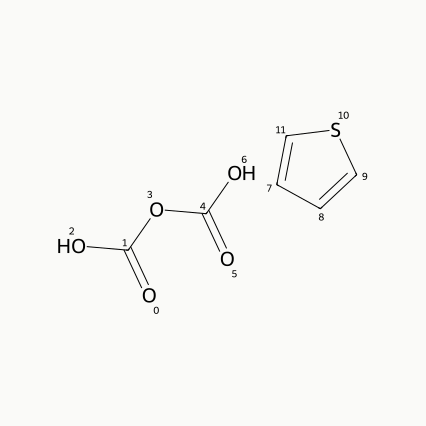 O=C(O)OC(=O)O.c1ccsc1